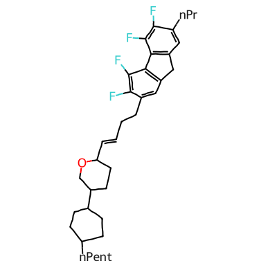 CCCCCC1CCC(C2CCC(/C=C/CCc3cc4c(c(F)c3F)-c3c(cc(CCC)c(F)c3F)C4)OC2)CC1